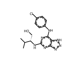 CC(C)[C@H](CO)Nc1nc(Nc2ccc(Cl)cc2)c2[nH]nnc2n1